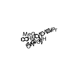 C=CC(=O)Nc1cc(Nc2cc(N3OCC[C@@H]3c3cccc4ccccc34)ncn2)c(OC)cc1N1CCC(N2CCN(C(C)C)CC2)CC1